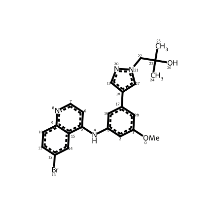 COc1cc(Nc2ccnc3ccc(Br)cc23)cc(-c2cnn(CC(C)(C)O)c2)c1